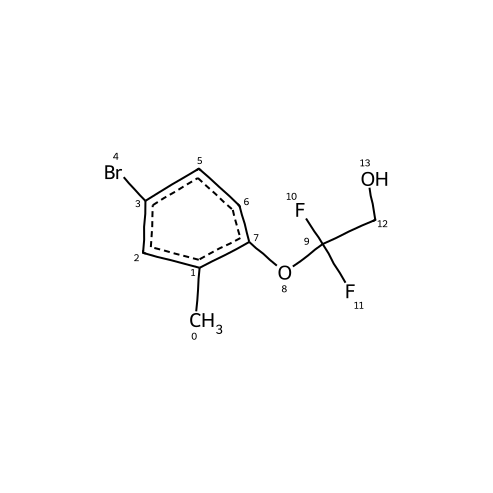 Cc1cc(Br)ccc1OC(F)(F)CO